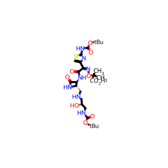 CC(C)(C)OC(=O)NC[C@@H](O)CNC[C@@H]1NC(=O)[C@H]1NC(=O)C(=NOC(C)(C)C(=O)O)c1csc(NC(=O)OC(C)(C)C)n1